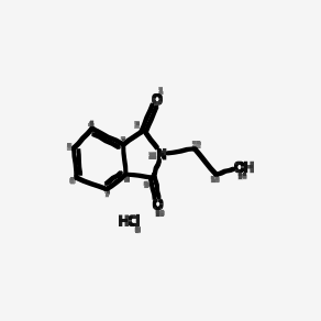 Cl.O=C1c2ccccc2C(=O)N1CCO